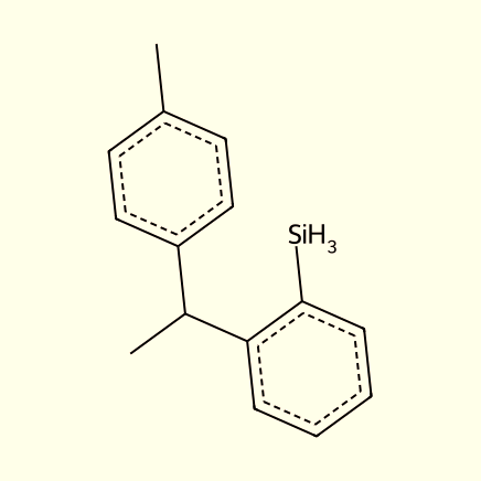 Cc1ccc(C(C)c2ccccc2[SiH3])cc1